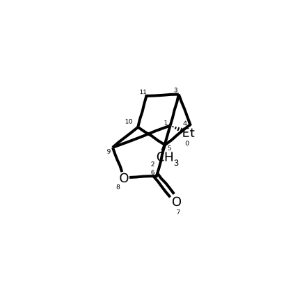 CC[C@@]1(C)C2CC3C(=O)OC1C3C2